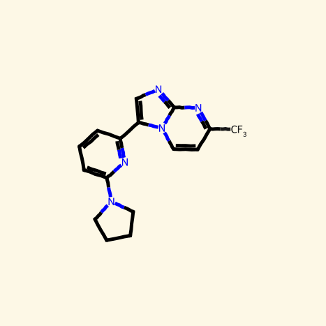 FC(F)(F)c1ccn2c(-c3cccc(N4CCCC4)n3)cnc2n1